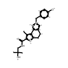 Cc1c(C(=O)NCC(C)(C)O)oc2c1-c1nn(Cc3ccc(Cl)cc3)cc1CC2